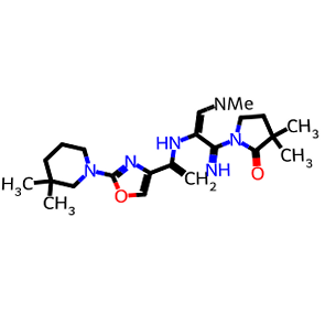 C=C(N/C(=C/NC)C(=N)N1CCC(C)(C)C1=O)c1coc(N2CCCC(C)(C)C2)n1